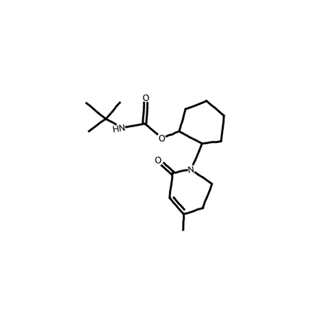 CC1=CC(=O)N(C2CCCCC2OC(=O)NC(C)(C)C)CC1